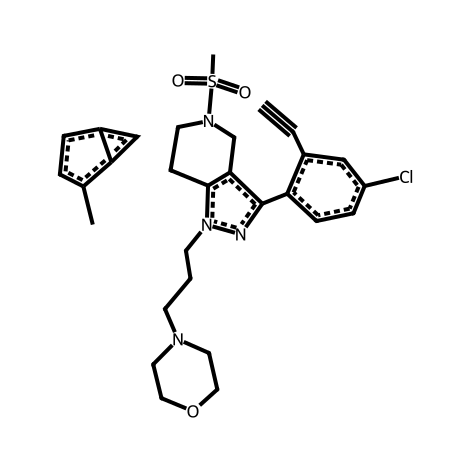 C#Cc1cc(Cl)ccc1-c1nn(CCCN2CCOCC2)c2c1CN(S(C)(=O)=O)CC2.Cc1ccc2cc1-2